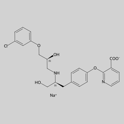 O=C([O-])c1cccnc1Oc1ccc(C[C@@H](CO)NC[C@H](O)COc2cccc(Cl)c2)cc1.[Na+]